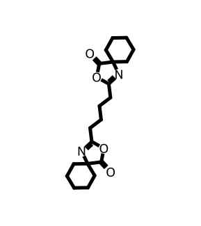 O=C1OC(CCCCC2=NC3(CCCCC3)C(=O)O2)=NC12CCCCC2